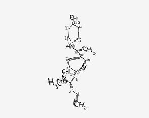 C=C/C=C(\C=C1/CC=C(C(=C)NC2CCC(C)CC2)C=N1)N(C)C